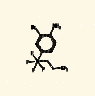 Nc1ccc(S(F)(F)(F)(F)CCC(F)(F)F)cc1Br